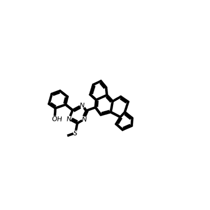 CSc1nc(-c2ccccc2O)nc(-c2cc3c4ccccc4ccc3c3ccccc23)n1